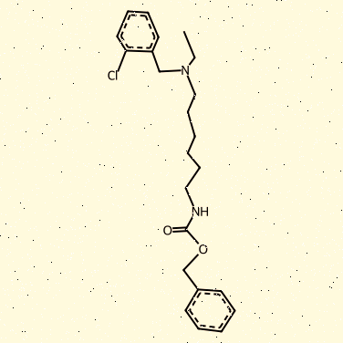 CCN(CCCCCCNC(=O)OCc1ccccc1)Cc1ccccc1Cl